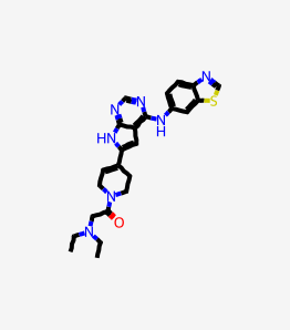 CCN(CC)CC(=O)N1CC=C(c2cc3c(Nc4ccc5ncsc5c4)ncnc3[nH]2)CC1